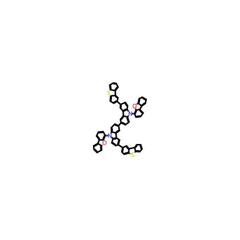 c1ccc2c(c1)oc1c(-n3c4ccc(-c5ccc6sc7ccccc7c6c5)cc4c4cc(-c5ccc6c(c5)c5cc(-c7ccc8sc9ccccc9c8c7)ccc5n6-c5cccc6c5oc5ccccc56)ccc43)cccc12